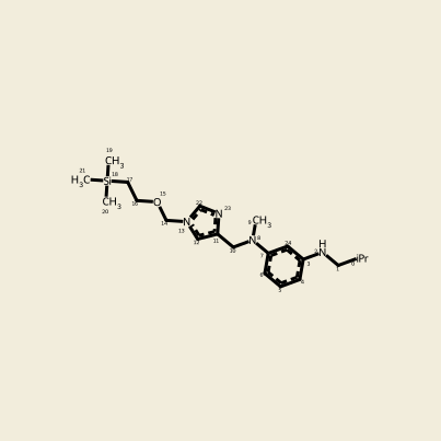 CC(C)CNc1cccc(N(C)Cc2cn(COCC[Si](C)(C)C)cn2)c1